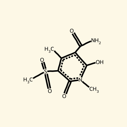 Cc1c(C(N)=O)c(O)n(C)c(=O)c1S(C)(=O)=O